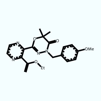 C=C(OCC)c1nccnc1C1=NN(Cc2ccc(OC)cc2)C(=O)C(C)(C)O1